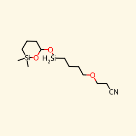 C[Si]1(C)CCCC(O[SiH2]CCCCOCCC#N)O1